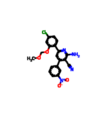 COCOc1cc(Cl)ccc1-c1cc(-c2cccc([N+](=O)[O-])c2)c(C#N)c(N)n1